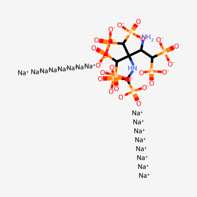 NC(C(P(=O)([O-])[O-])P(=O)([O-])[O-])C(NC(P(=O)([O-])[O-])P(=O)([O-])[O-])(C(P(=O)([O-])[O-])P(=O)([O-])[O-])C(P(=O)([O-])[O-])P(=O)([O-])[O-].[Na+].[Na+].[Na+].[Na+].[Na+].[Na+].[Na+].[Na+].[Na+].[Na+].[Na+].[Na+].[Na+].[Na+].[Na+].[Na+]